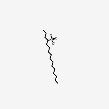 CCCCCCCCCCCCC(CCC)S(=O)(=O)Cl